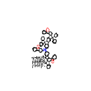 CCCCCCCC1(CCCCCCC)c2ccccc2-c2c1c1c(c3c2oc2ccccc23)-c2ccc(N(c3ccc4c(c3)C(c3ccccc3)(c3ccccc3)c3cc5c(cc3-4)C(c3ccccc3)(c3ccccc3)c3ccc4oc6ccccc6c4c3-5)c3ccc4c(c3)oc3ccccc34)cc2C1(CCCCCCC)CCCCCCC